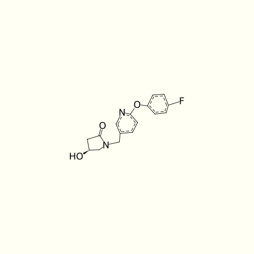 O=C1C[C@H](O)CN1Cc1ccc(Oc2ccc(F)cc2)nc1